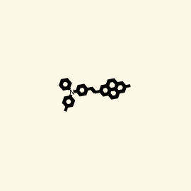 Cc1ccc(N(c2ccccc2)c2ccc(C=Cc3cc4ccc5cc(C)cc6ccc(c3)c4c56)cc2)cc1